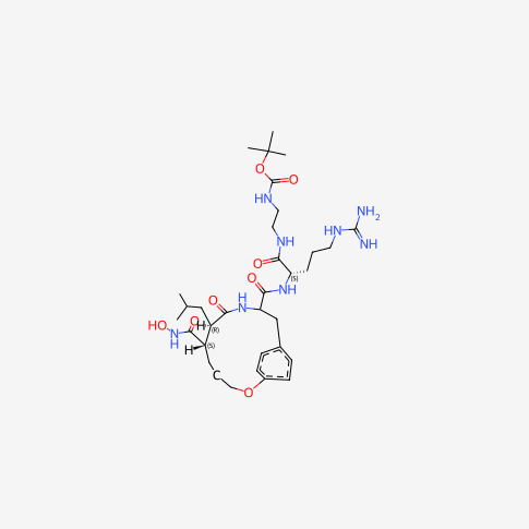 CC(C)C[C@H]1C(=O)NC(C(=O)N[C@@H](CCCNC(=N)N)C(=O)NCCNC(=O)OC(C)(C)C)Cc2ccc(cc2)OCCC[C@@H]1C(=O)NO